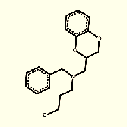 ClCCCN(Cc1ccccc1)CC1COc2ccccc2O1